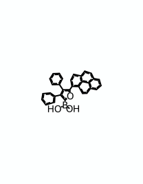 OB(O)c1oc(-c2ccc3ccc4cccc5ccc2c3c45)c(-c2ccccc2)c1-c1ccccc1